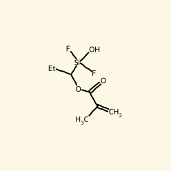 C=C(C)C(=O)OC(CC)[Si](O)(F)F